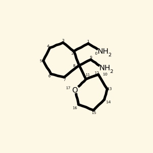 NCC1CCCCCC1(CN)C1CCCCCO1